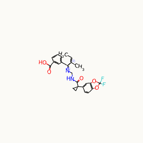 C/C=C(C)\C(=N/CNC(=O)C1(c2ccc3c(c2)OC(F)(F)O3)CC1)c1cccc(C(=O)O)c1